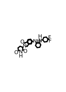 O=C1CCC(N2Cc3cc(N[C@@H]4CCCC[C@@H]4NC4CCC(F)(F)CC4)ccc3C2=O)C(=O)N1